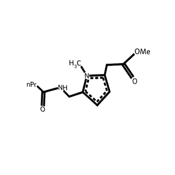 CCCC(=O)NCc1ccc(CC(=O)OC)n1C